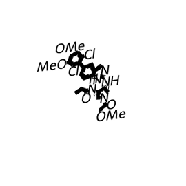 C=CC(=O)N[C@H]1CN(C(=O)COC)C[C@H]1Nc1ncc2cc(-c3c(Cl)c(OC)cc(OC)c3Cl)ccc2n1